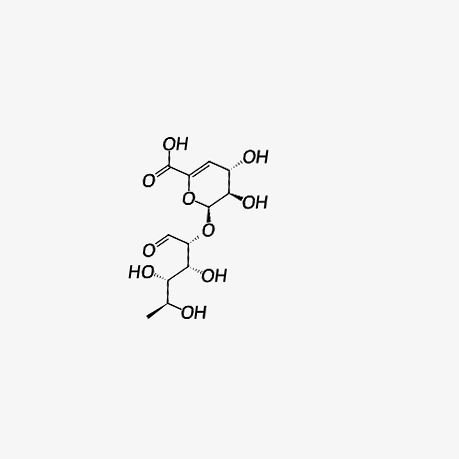 C[C@H](O)[C@H](O)[C@@H](O)[C@H](C=O)O[C@H]1OC(C(=O)O)=C[C@H](O)[C@H]1O